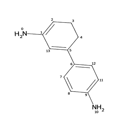 NC1=CCCC(c2ccc(N)cc2)=C1